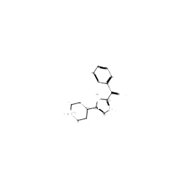 O=C(c1ccccc1)c1ncc(C2CCNCC2)s1